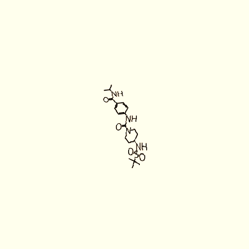 CC(C)NC(=O)c1ccc(NC(=O)N2CCC(NS(=O)(=O)C(C)(C)C)CC2)cc1